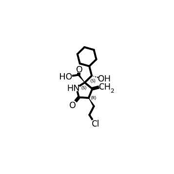 C=C1[C@@H](CCCl)C(=O)N[C@]1(C(=O)O)[C@@H](O)C1CCCCC1